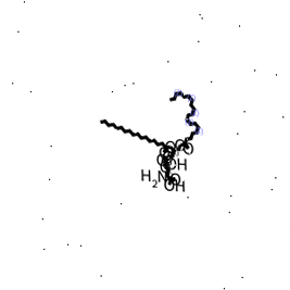 CC/C=C\C/C=C\C/C=C\C/C=C\C/C=C\CCCC(=O)OC[C@H](COP(=O)(O)OC[C@H](N)C(=O)O)OC(=O)CCCCCCCCCCCCCCCC